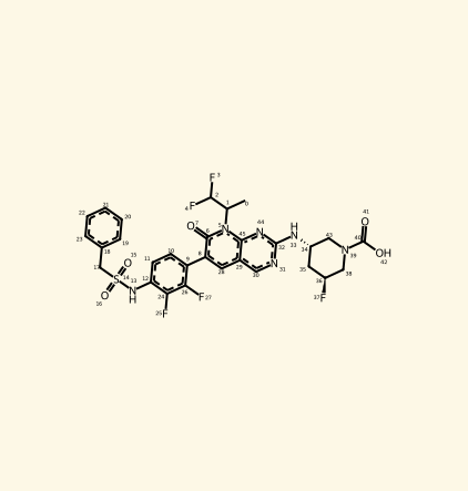 CC(C(F)F)n1c(=O)c(-c2ccc(NS(=O)(=O)Cc3ccccc3)c(F)c2F)cc2cnc(N[C@H]3C[C@H](F)CN(C(=O)O)C3)nc21